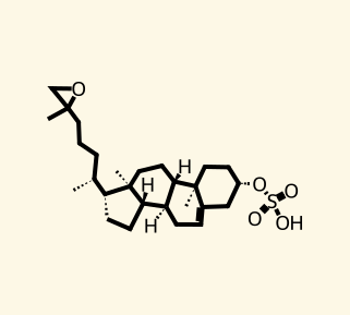 C[C@H](CCCC1(C)CO1)[C@H]1CC[C@H]2[C@@H]3CC=C4C[C@@H](OS(=O)(=O)O)CC[C@]4(C)[C@H]3CC[C@]12C